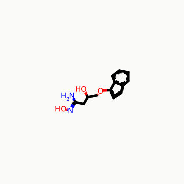 N/C(CC(O)COC1=C=Cc2ccccc21)=N\O